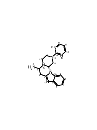 NC(Cc1nc2ccccc2o1)N1CCN(c2ncccn2)CC1